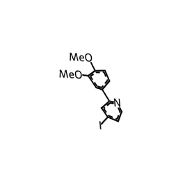 COc1ccc(-c2cc(I)ccn2)cc1OC